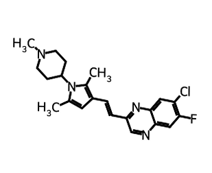 Cc1cc(C=Cc2cnc3cc(F)c(Cl)cc3n2)c(C)n1C1CCN(C)CC1